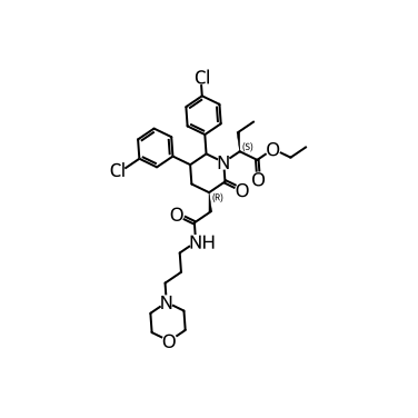 CCOC(=O)[C@H](CC)N1C(=O)[C@@H](CC(=O)NCCCN2CCOCC2)CC(c2cccc(Cl)c2)C1c1ccc(Cl)cc1